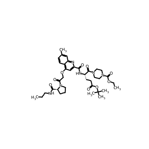 CCCNC(=O)[C@@H]1CCCN1C(=O)COc1cc(C(=O)N[C@@H](CCC(=O)OC(C)(C)C)C(=O)N2CCN(C(=O)OCC)CC2)nc2cc(C)ccc12